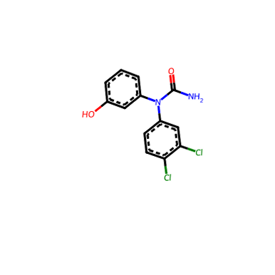 NC(=O)N(c1cccc(O)c1)c1ccc(Cl)c(Cl)c1